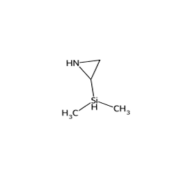 C[SiH](C)C1CN1